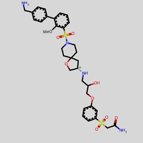 COc1c(-c2ccc(CN)cc2)cccc1S(=O)(=O)N1CCC2(CC1)C[C@H](NCC(O)COc1cccc(S(=O)(=O)CC(N)=O)c1)CO2